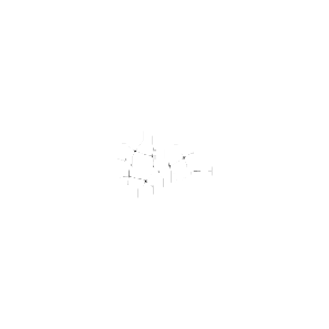 O=S(O)C(F)(F)C(F)(F)[N+]1(F)C(F)(F)C(F)(F)N(F)C(F)(F)C1(F)F